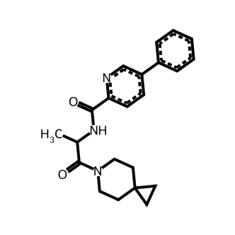 CC(NC(=O)c1ccc(-c2ccccc2)cn1)C(=O)N1CCC2(CC1)CC2